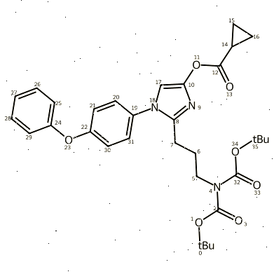 CC(C)(C)OC(=O)N(CCCc1nc(OC(=O)C2CC2)cn1-c1ccc(Oc2ccccc2)cc1)C(=O)OC(C)(C)C